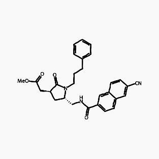 COC(=O)C[C@@H]1C[C@@H](CNC(=O)c2ccc3cc(C#N)ccc3c2)N(CCCc2ccccc2)C1=O